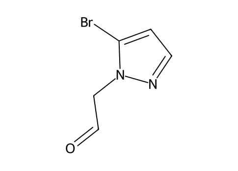 O=CCn1nccc1Br